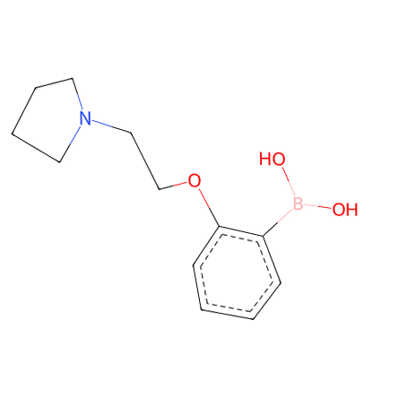 OB(O)c1ccccc1OCCN1CCCC1